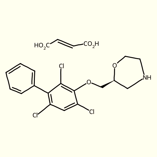 Clc1cc(Cl)c(-c2ccccc2)c(Cl)c1OC[C@@H]1CNCCO1.O=C(O)/C=C/C(=O)O